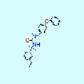 CC(C)c1cccc(C(C)(C)NC(=O)N(C)Cc2ccc(Oc3ccccc3)cc2)c1